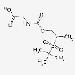 C=C(COC(=O)NCC(=O)O)S(=O)(=O)C(C)(C)C